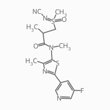 Cc1nc(-c2cncc(F)c2)sc1N(C)C(=O)C(C)CS(C)(=O)=NC#N